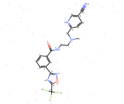 CN(CCNC(=O)c1cccc(-c2noc(C(F)(F)F)n2)c1)Cc1ccc(C#N)cn1